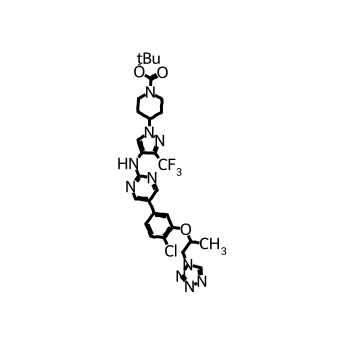 CC(Cn1cnnn1)Oc1cc(-c2cnc(Nc3cn(C4CCN(C(=O)OC(C)(C)C)CC4)nc3C(F)(F)F)nc2)ccc1Cl